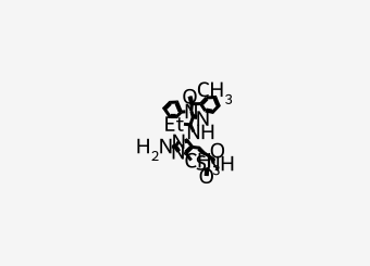 CCC(Nc1nc(N)nc(C)c1/C=C1\SC(=O)NC1=O)c1nc2cccc(C)c2c(=O)n1-c1ccccc1